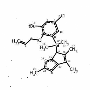 C=CCOc1c(C(C)(C)C)cc(Cl)cc1[Si](C)(C)C1C(C)=C(C)c2cc(C)sc21